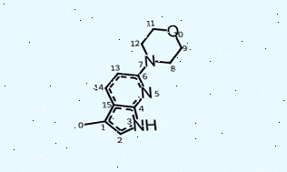 Cc1c[nH]c2nc(N3CCOCC3)ccc12